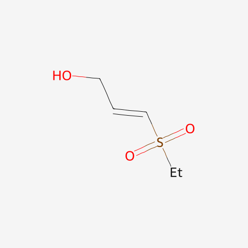 CCS(=O)(=O)C=CCO